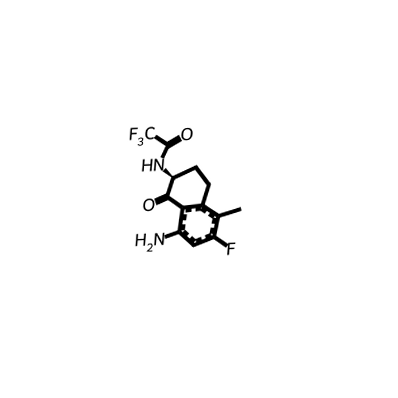 Cc1c(F)cc(N)c2c1CC[C@H](NC(=O)C(F)(F)F)C2=O